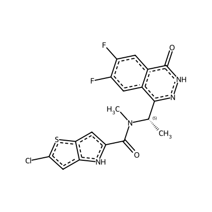 C[C@@H](c1n[nH]c(=O)c2cc(F)c(F)cc12)N(C)C(=O)c1cc2sc(Cl)cc2[nH]1